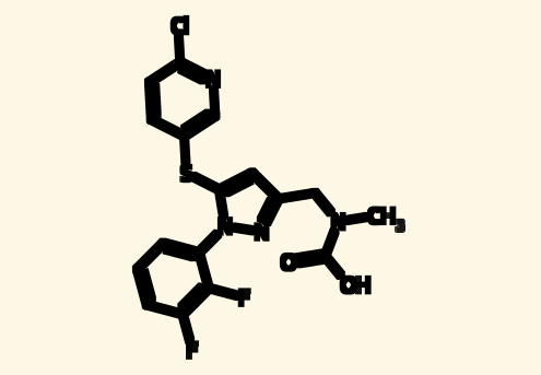 CN(Cc1cc(Sc2ccc(Cl)nc2)n(-c2cccc(F)c2F)n1)C(=O)O